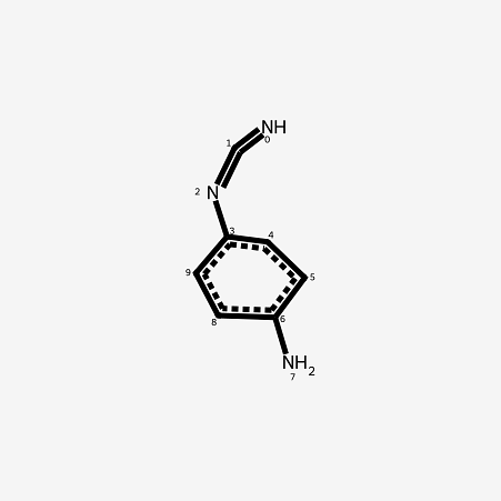 N=C=Nc1ccc(N)cc1